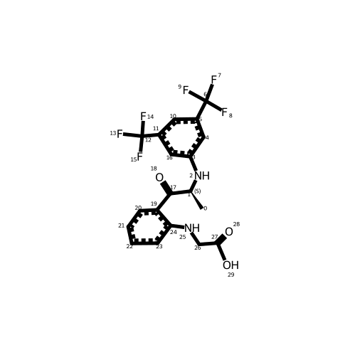 C[C@H](Nc1cc(C(F)(F)F)cc(C(F)(F)F)c1)C(=O)c1ccccc1NCC(=O)O